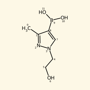 Cc1nn(CCO)cc1B(O)O